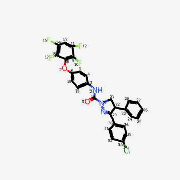 O=C(Nc1ccc(Oc2c(F)c(F)cc(F)c2F)cc1)N1CC(c2ccccc2)C(c2ccc(Cl)cc2)=N1